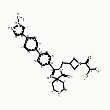 CC(O)C(=O)N1CC(CN2C(=O)C3(CCOCC3)N=C2c2ccc(-c3ccc(-c4cnn(C)c4)cc3)cc2)C1